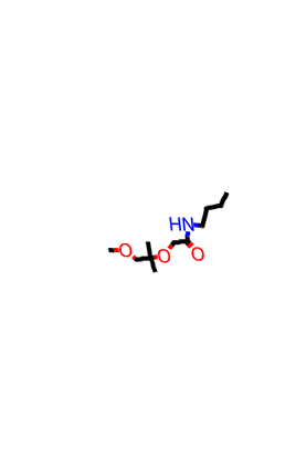 CCCCNC(=O)COC(C)(C)COC